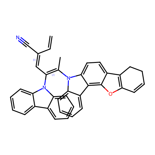 C=C/C(C#N)=C\C(=C(/C)n1c2ccccc2c2c3oc4c(c3ccc21)CCC=C4)n1c2ccccc2c2ccccc21